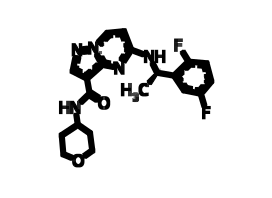 C[C@@H](Nc1ccn2ncc(C(=O)NC3CCOCC3)c2n1)c1cc(F)ccc1F